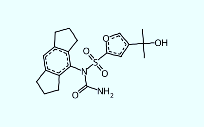 CC(C)(O)c1coc(S(=O)(=O)N(C(N)=O)c2c3c(cc4c2CCC4)CCC3)c1